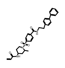 C=CC(=O)NC1CCN(S(=O)(=O)c2ccc(C(=O)NCCc3ccc(-c4ccccc4)cc3)cc2)C(C)C1